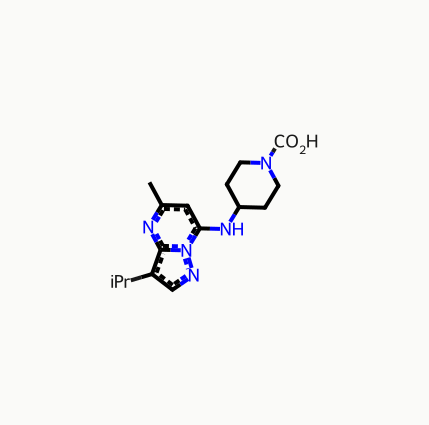 Cc1cc(NC2CCN(C(=O)O)CC2)n2ncc(C(C)C)c2n1